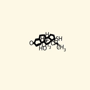 CCS[C@@]1(S)CC[C@H]2[C@@H]3CCC4=CC(=O)C=C[C@]4(C)[C@@]3(F)[C@@H](O)C[C@@]21C